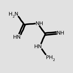 N=C(N)NC(=N)NP